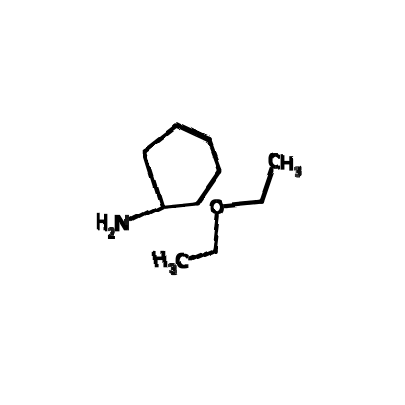 CCOCC.NC1CCCCC1